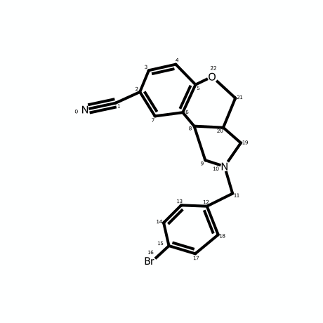 N#Cc1ccc2c(c1)C1CN(Cc3ccc(Br)cc3)CC1CO2